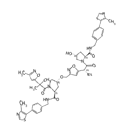 CC[C@@H](C(=O)N1C[C@H](O)C[C@H]1C(=O)NCc1ccc(-c2scnc2C)cc1)c1cc(CO[C@@H]2C[C@@H](C(=O)NCc3ccc(-c4scnc4C)cc3)N(C(=O)C(C)(C)c3cc(C)no3)C2)no1